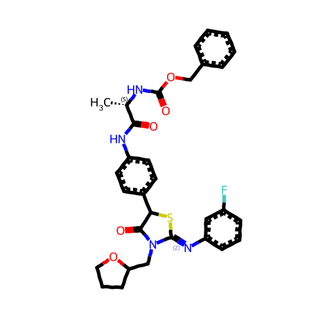 C[C@H](NC(=O)OCc1ccccc1)C(=O)Nc1ccc(C2S/C(=N\c3cccc(F)c3)N(CC3CCCO3)C2=O)cc1